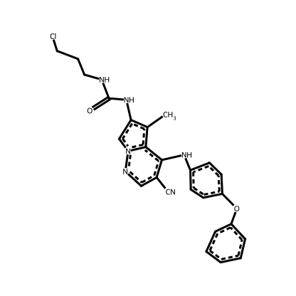 Cc1c(NC(=O)NCCCCl)cn2ncc(C#N)c(Nc3ccc(Oc4ccccc4)cc3)c12